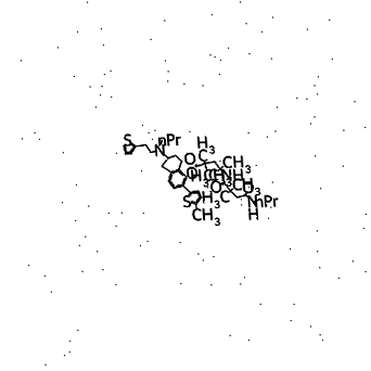 CCCNC(=O)CC(C)(C)C(=O)NC(C)(C)CC(C)(C)C(=O)Oc1c(-c2ccc(C)s2)ccc2c1CCC(N(CCC)CCc1cccs1)C2